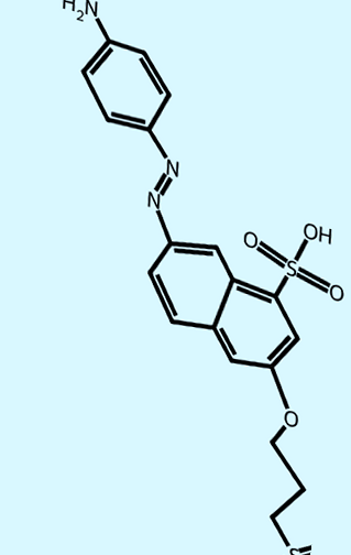 Nc1ccc(N=Nc2ccc3cc(OCCCS(=O)(=O)O)cc(S(=O)(=O)O)c3c2)cc1